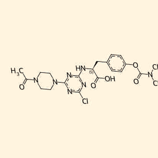 CC(=O)N1CCN(c2nc(Cl)nc(N[C@@H](Cc3ccc(OC(=O)N(C)C)cc3)C(=O)O)n2)CC1